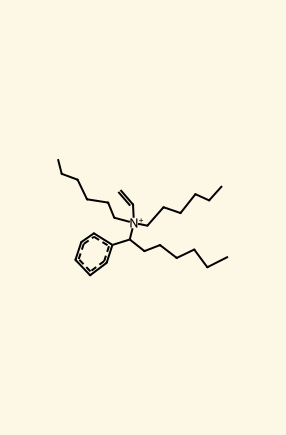 C=C[N+](CCCCCC)(CCCCCC)C(CCCCCC)c1ccccc1